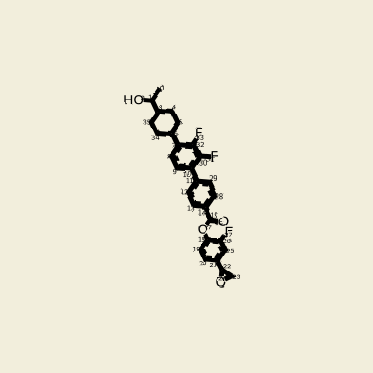 CC(O)C1CCC(c2ccc(-c3ccc(C(=O)Oc4ccc(C5CO5)cc4F)cc3)c(F)c2F)CC1